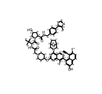 C#Cc1c(F)ccc2cc(O)cc(-c3ncc4c(N5CC6CCC(C5)N6)nc(OC5CCN(CC(=O)N[C@H](C(=O)N6C[C@H](O)CC6C(=O)NCc6ccc(-c7scnc7C)cc6)C(C)(C)C)CC5)nc4c3F)c12